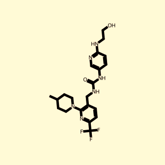 CC1CCN(c2nc(C(F)(F)F)ccc2CNC(=O)Nc2ccc(NCCO)nc2)CC1